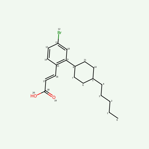 CCCCCC1CCC(c2cc(Br)ccc2/C=C/C(=O)O)CC1